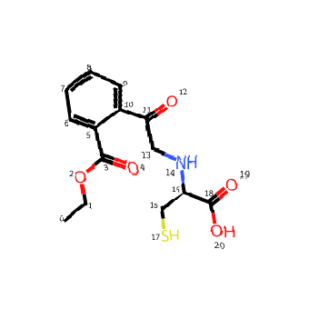 CCOC(=O)c1ccccc1C(=O)CN[C@H](CS)C(=O)O